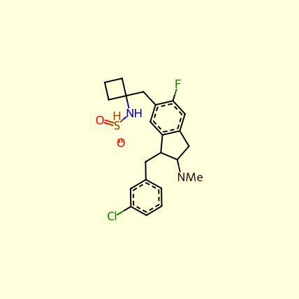 CNC1Cc2cc(F)c(CC3(N[SH](=O)=O)CCC3)cc2C1Cc1cccc(Cl)c1